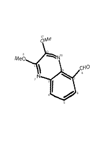 COc1nc2cccc(C=O)c2nc1OC